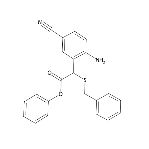 N#Cc1ccc(N)c(C(SCc2ccccc2)C(=O)Oc2ccccc2)c1